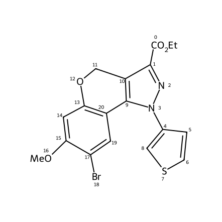 CCOC(=O)c1nn(-c2ccsc2)c2c1COc1cc(OC)c(Br)cc1-2